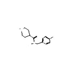 CN(Cc1ccc(Br)cc1)C(=O)C1CC[S+]([O-])CC1